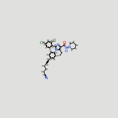 CCc1c(C(=O)NN2CCCCC2)nc(-c2ccc(Cl)cc2Cl)n1-c1ccc(C#CCCCC#N)cc1